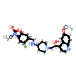 COc1ccc2nccc([C@@H](O)CN3CCC(NCc4cc5oc(=O)n(C)c5cc4F)CC3)c2c1